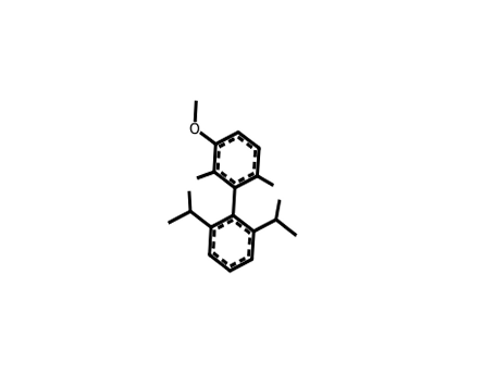 COc1ccc(C)c(-c2c(C(C)C)cccc2C(C)C)c1C